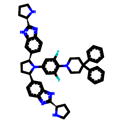 Fc1cc(N2[C@@H](c3ccc4nc([C@@H]5CCCN5)[nH]c4c3)CC[C@@H]2c2ccc3nc([C@@H]4CCCN4)[nH]c3c2)cc(F)c1N1CCC(c2ccccc2)(c2ccccc2)CC1